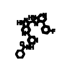 O=C(Nc1cncc(-c2cc3c(-c4nc5c(-c6cccc(F)c6)cncc5[nH]4)n[nH]c3cn2)c1)C1CCCCC1